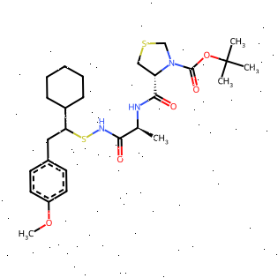 COc1ccc(CC(SNC(=O)[C@H](C)NC(=O)[C@@H]2CSCN2C(=O)OC(C)(C)C)C2CCCCC2)cc1